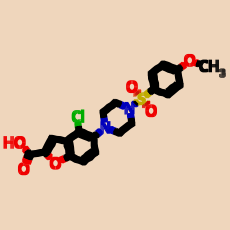 COc1ccc(S(=O)(=O)N2CCN(c3ccc4oc(C(=O)O)cc4c3Cl)CC2)cc1